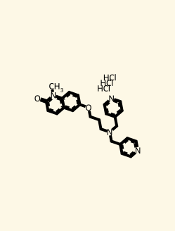 Cl.Cl.Cl.Cn1c(=O)ccc2cc(OCCCN(Cc3ccncc3)Cc3ccncc3)ccc21